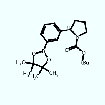 CC(C)(C)OC(=O)N1CCC[C@@H]1c1cccc(B2OC(C)(C)C(C)(C)O2)c1